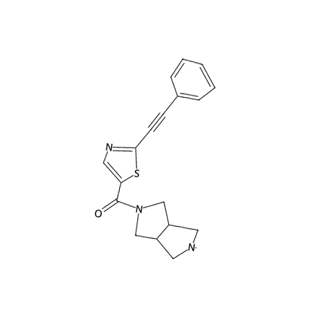 O=C(c1cnc(C#Cc2ccccc2)s1)N1CC2C[N]CC2C1